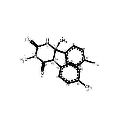 CN1C(=N)N[C@](C)(c2ccc(F)cc2)[C@@H](c2ccc(C(F)(F)F)cc2)C1=O